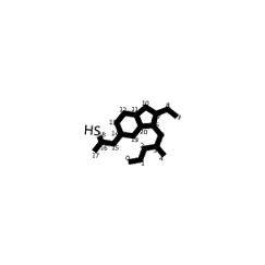 CCCC(C)CC1C(CC)CC2CCC(CC(C)S)CC21